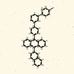 Cc1ccc(-c2cccc(-c3ccc(-c4c5ccccc5c(-c5ccc6ccccc6c5)c5ccccc45)cc3)c2)nc1